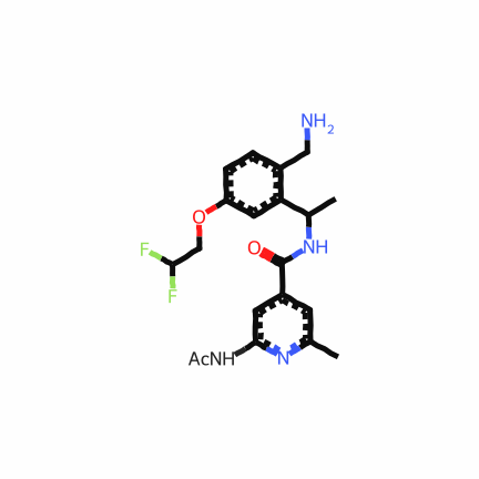 CC(=O)Nc1cc(C(=O)NC(C)c2cc(OCC(F)F)ccc2CN)cc(C)n1